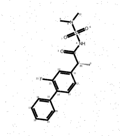 C[C@@H](C(=O)NS(=O)(=O)N(C)C)c1ccc(-c2ccccc2)c(F)c1